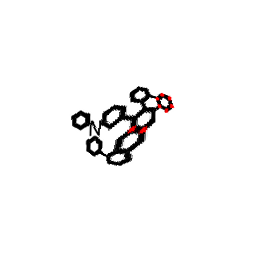 c1ccc(-c2ccccc2-c2c(-c3ccccc3)cccc2-c2cccc(N(c3ccccc3)c3cccc(-c4cccc5ccccc45)c3)c2)cc1